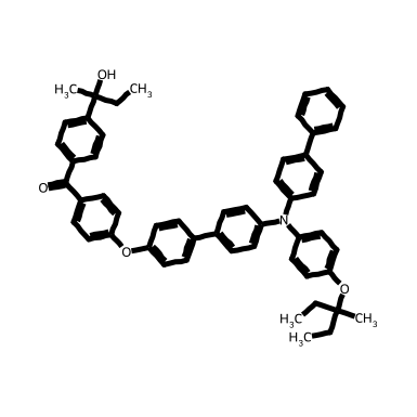 CCC(C)(CC)Oc1ccc(N(c2ccc(-c3ccccc3)cc2)c2ccc(-c3ccc(Oc4ccc(C(=O)c5ccc(C(C)(O)CC)cc5)cc4)cc3)cc2)cc1